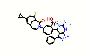 CN1C(N)=Nc2[nH]nc(-c3ccccc3)c2C1C1=CC=CC(N2C=CC3C=C(C4CC4)C=C(F)C(C3)C2=O)C=C1CO